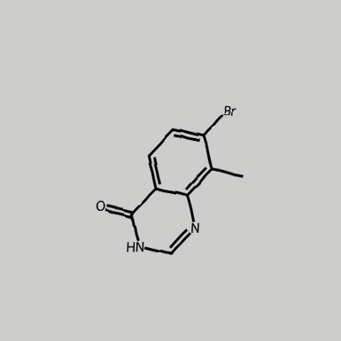 Cc1c(Br)ccc2c(=O)[nH]cnc12